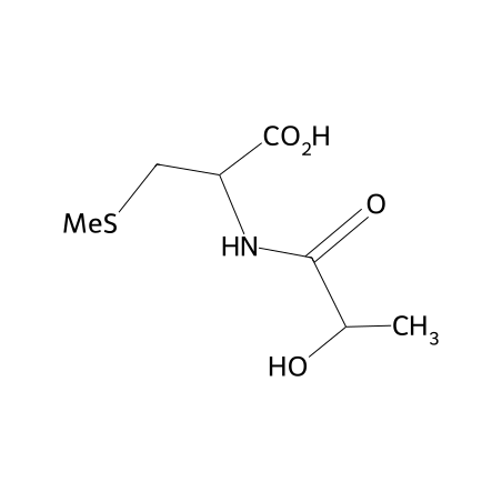 CSCC(NC(=O)C(C)O)C(=O)O